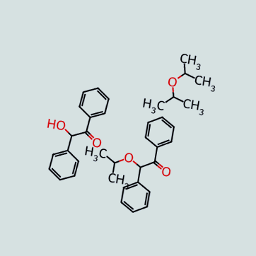 CC(C)OC(C(=O)c1ccccc1)c1ccccc1.CC(C)OC(C)C.O=C(c1ccccc1)C(O)c1ccccc1